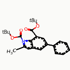 Cc1cc2cc(-c3ccccc3)cc(C(=O)OC(C)(C)C)c2n1C(=O)OC(C)(C)C